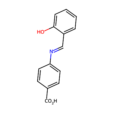 O=C(O)c1ccc(/N=C/c2ccccc2O)cc1